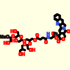 CC[C@]1(OC(=O)CNC(=O)CCC(=O)OCC(COC(CO)OC(CO)COC(CO)OC)OC(CO)OCC(C)CO)C(=O)OCc2c1cc1n(c2=O)Cc2cc3ccccc3nc2-1